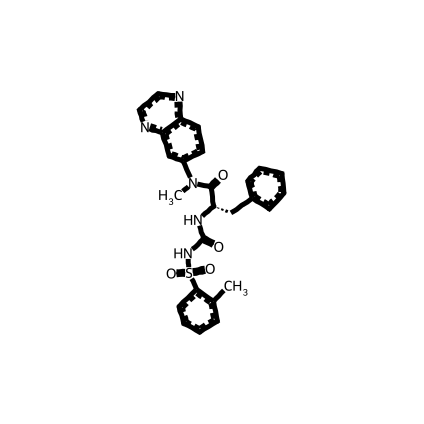 Cc1ccccc1S(=O)(=O)NC(=O)N[C@@H](Cc1ccccc1)C(=O)N(C)c1ccc2nccnc2c1